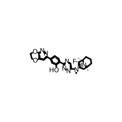 CN(c1cnc(-c2ccc(-c3cc4c(nn3)OCCO4)cc2O)nn1)[C@H]1C[C@]2(C)CCC[C@@](C)(N2)[C@H]1F